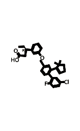 CC[C@H](CC(=O)O)c1cccc(OCc2ccc(-c3cc(Cl)ccc3F)c(C3=CCCC3(C)C)c2)c1